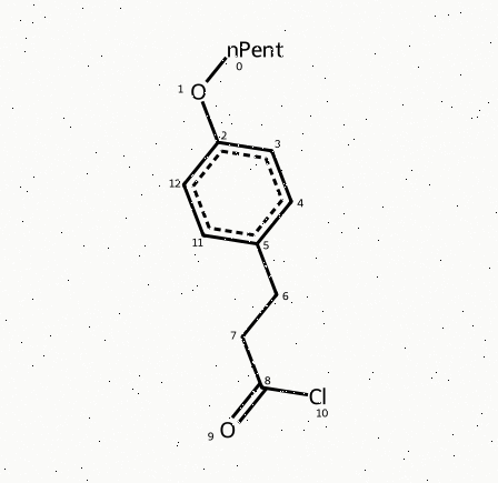 CCCCCOc1ccc(CCC(=O)Cl)cc1